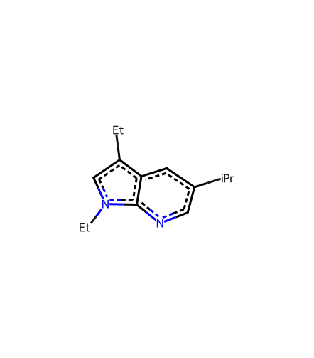 CCc1cn(CC)c2ncc(C(C)C)cc12